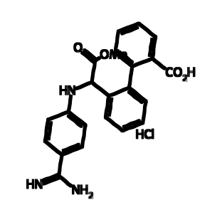 COC(=O)C(Nc1ccc(C(=N)N)cc1)c1ccccc1-c1ccccc1C(=O)O.Cl